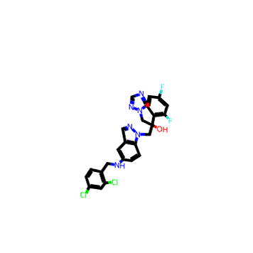 OC(Cn1cncn1)(Cn1ncc2cc(NCc3ccc(Cl)cc3Cl)ccc21)c1ccc(F)cc1F